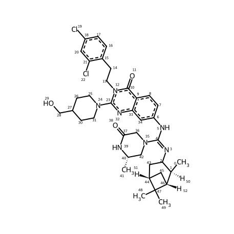 C[C@@H]1C(/N=C(/Nc2ccc3c(=O)n(CCc4ccc(Cl)cc4Cl)c(N4CCC(CO)CC4)nc3c2)N2CC(=O)N[C@@H](C)C2)C[C@@H]2C[C@H]1C2(C)C